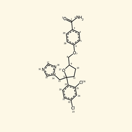 NC(=O)c1ccc(OCC2CCC(Cn3cncn3)(c3ccc(Cl)cc3Cl)O2)cc1